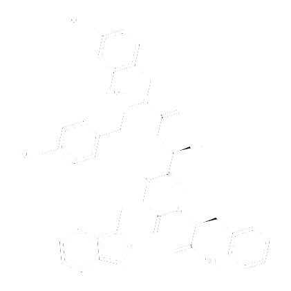 CCCC[C@H](CC(=O)N(Cc1ccc(OC)cc1OC)OCc1ccc(OC)cc1)C(=O)N[C@@H](Cc1csc2ccccc12)C(=O)N[C@@H](Cc1ccccc1)C(N)=O